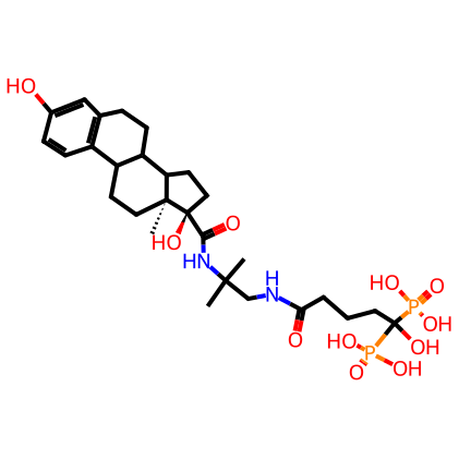 CC(C)(CNC(=O)CCCC(O)(P(=O)(O)O)P(=O)(O)O)NC(=O)[C@@]1(O)CCC2C3CCc4cc(O)ccc4C3CC[C@@]21C